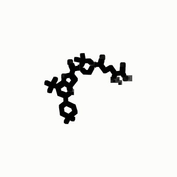 CC1(C)CCC(c2cc(C(C)(C)C)c3oc(C(=O)N4CCN(C(=O)CCC(N)C(=O)O)CC4(C)C)cc3n2)CC1